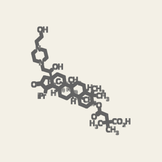 CC(C)C1=C2[C@H]3CC[C@@H]4[C@@]5(C)CC[C@H](OC(=O)CC(C)(C)C(=O)O)C(C)(C)[C@@H]5CC[C@@]4(C)[C@]3(C)CC[C@@]2(C(O)CN2CCN(CCO)CC2)CC1=O